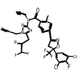 C#CCN(C(=O)c1ccc(C2=NOC(c3cc(Cl)c(F)c(Cl)c3)(C(F)(F)F)C2)cc1C)c1nc(CC(F)C(F)F)n(CC#C)n1